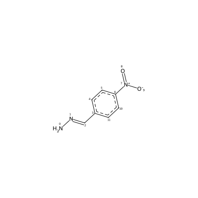 NN=Cc1ccc([N+](=O)[O-])cc1